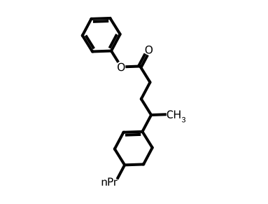 CCCC1CC=C(C(C)CCC(=O)Oc2ccccc2)CC1